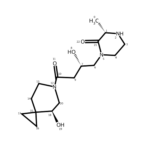 C[C@@H]1NCCN(C[C@@H](O)CC(=O)N2CCC3(CC3)[C@H](O)C2)C1=O